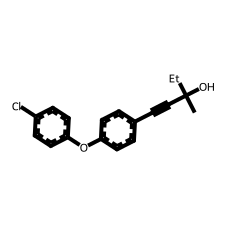 CCC(C)(O)C#Cc1ccc(Oc2ccc(Cl)cc2)cc1